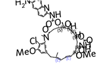 COc1cc2cc(c1Cl)N(C)C(=O)C[C@H](OC(=O)Nc1ccc3cc(N)ccc3n1)[C@]1(C)O[C@H]1[C@H](C)[C@@H]1C[C@@](O)(NC(=O)O1)[C@H](OC)/C=C/C=C(\C)C2